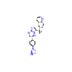 C1=NCCN1c1ccc(-c2cnc3ncc(C4(c5ccc6ncccc6c5)CC4)n3n2)cc1